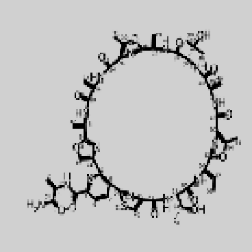 C=C(NC(=O)c1ccc2c(n1)-c1coc(n1)C(=C)NC(=O)C(=C)NC(=O)c1nc(oc1C)C(=C)NC(=O)[C@H](C(C)(C)O)NC(=O)C(=C)NC(=O)c1nc(oc1C)/C(=C/C)NC(=O)[C@H]([C@@H](C)O)NC(=O)c1csc-2n1)C(N)=O